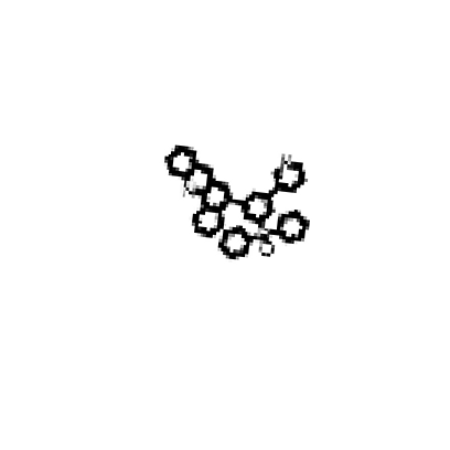 O=P(c1ccccc1)(c1ccccc1)c1cc(-c2cccnc2)cc(-c2cc3cc4ccccc4nc3c3ccccc23)c1